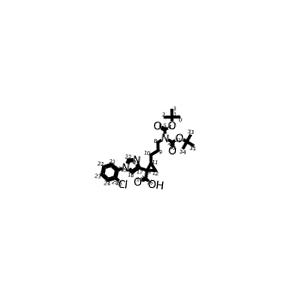 CC(C)(C)OC(=O)N(CCCC1CC1(C(=O)O)c1cn(-c2ccccc2Cl)cn1)C(=O)OC(C)(C)C